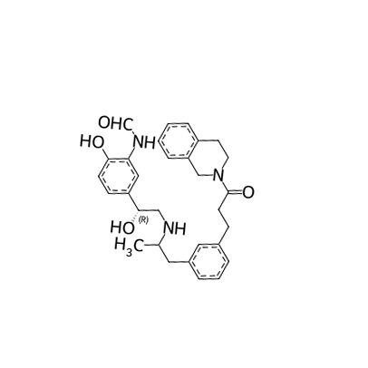 CC(Cc1cccc(CCC(=O)N2CCc3ccccc3C2)c1)NC[C@H](O)c1ccc(O)c(NC=O)c1